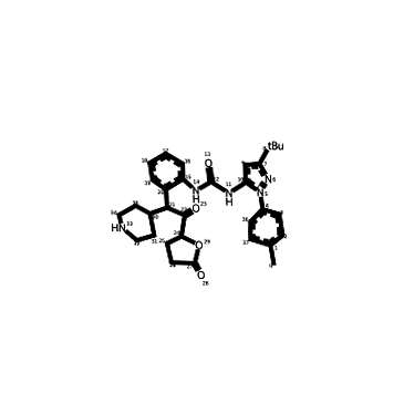 Cc1ccc(-n2nc(C(C)(C)C)cc2NC(=O)Nc2ccccc2C(C(=O)C2CCC(=O)O2)C2CCNCC2)cc1